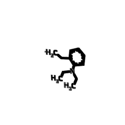 [CH2]Cc1ccccc1N(CC)CC